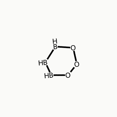 B1BOOOB1